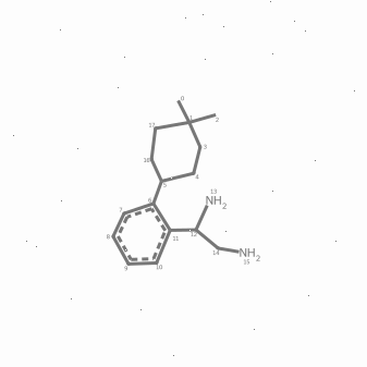 CC1(C)CCC(c2ccccc2C(N)CN)CC1